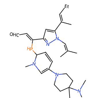 CC/C=C(\C)c1cc(/C(=C/C=O)PC2C=CC(N3CCC(C)(N(C)C)CC3)=CN2C)nn1C=C(C)C